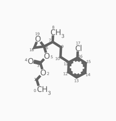 CCOC(=O)OC1(C(C)CCc2ccccc2Cl)CO1